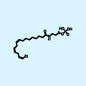 CC/C=C\C/C=C\C/C=C\CCCCCCCC(=O)NCCSOP(=O)(O)O